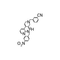 [2H]C1=C2CN(Cc3cccc(C#N)c3)CC=C2c2cccnc2N1Cc1ccc([N+](=O)[O-])cc1